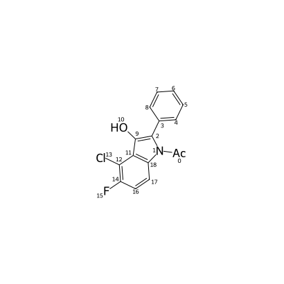 CC(=O)n1c(-c2ccccc2)c(O)c2c(Cl)c(F)ccc21